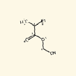 CCC(C)C(=O)OCC#N